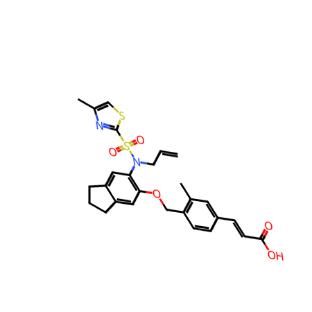 C=CCN(c1cc2c(cc1OCc1ccc(C=CC(=O)O)cc1C)CCC2)S(=O)(=O)c1nc(C)cs1